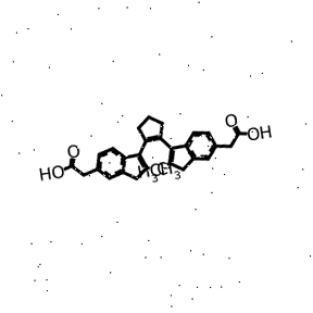 CC1=C(C2=C(C3=C(C)Cc4cc(CC(=O)O)ccc43)CCC2)c2ccc(CC(=O)O)cc2C1